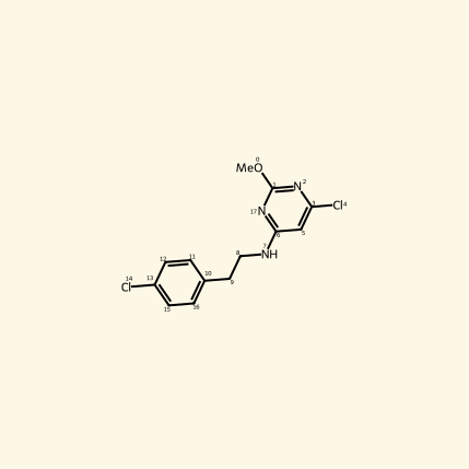 COc1nc(Cl)cc(NCCc2ccc(Cl)cc2)n1